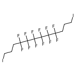 FC(F)(CCCI)C(F)(F)C(F)(F)C(F)(F)C(F)(F)C(F)(F)CCCI